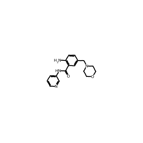 Nc1ccc(CN2CCOCC2)cc1C(=O)Nc1cccnc1